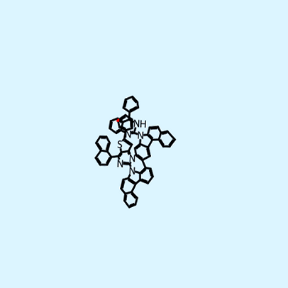 c1ccc(-c2cc3nc(-n4c5ccc6ccccc6c5c5cccc(-c6ccc7c(c6)c6c8ccccc8ccc6n7C6=Nc7ccccc7C(c7ccccc7)N6)c54)nc(-c4cccc5ccccc45)c3s2)cc1